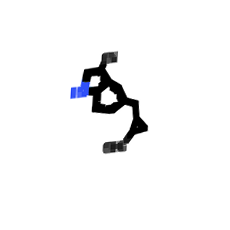 N#Cc1c[nH]c2ccc(CC3CC3C=O)cc12